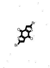 O=C1c2cc(Br)sc2C(=O)c2cc(Br)sc21